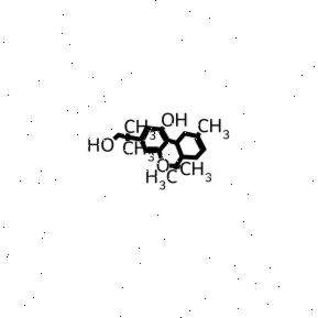 CC1=CCC2C(C1)c1c(O)cc(C(C)(C)CO)cc1OC2(C)C